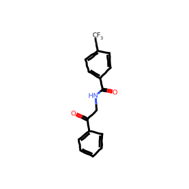 O=C(CNC(=O)c1ccc(C(F)(F)F)cc1)c1ccccc1